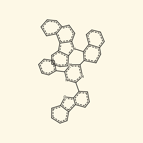 c1ccc(-c2nc(-c3ccc4ccccc4c3-n3c4ccccc4c4c5ccccc5ccc43)nc(-c3cccc4c3oc3ccccc34)n2)cc1